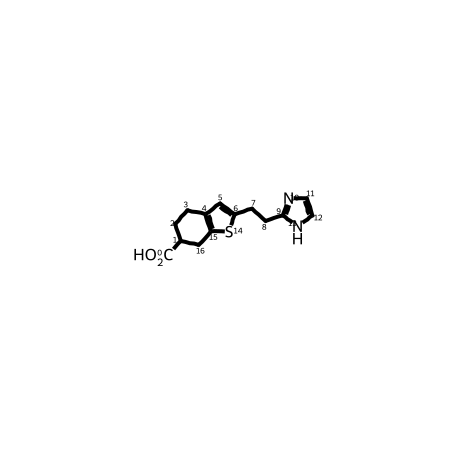 O=C(O)C1CCc2cc(CCc3ncc[nH]3)sc2C1